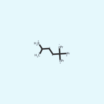 BC(C)CCC(CCC)(CCC)C(C)C